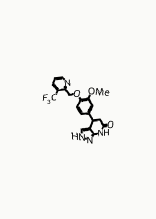 COc1cc(C2CC(=O)Nc3n[nH]cc32)ccc1OCc1ncccc1C(F)(F)F